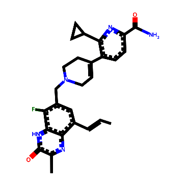 CC=Cc1cc(CN2CC=C(c3ccc(C(N)=O)nc3C3CC3)CC2)c(F)c2[nH]c(=O)c(C)nc12